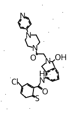 O=C(Nc1cccc2c1CN(CC(=O)N1CCN(c3ccncc3)CC1)C2O)C1=CC(Cl)=CCC1=S